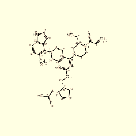 C=CC(=O)N1CCN(c2nc(OC[C@@H]3CCCN3CC(F)F)nc3c2CCN(c2c(C)ccc4[nH]ncc24)C3)C[C@@H]1CC#N